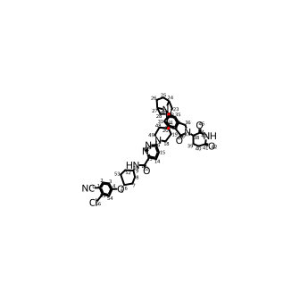 N#Cc1ccc(O[C@H]2CC[C@H](NC(=O)c3ccc(N4CCC(CN5CC6CCC(C5)N6c5ccc6c(c5)CN(C5CCC(=O)NC5=O)C6=O)CC4)nn3)CC2)cc1Cl